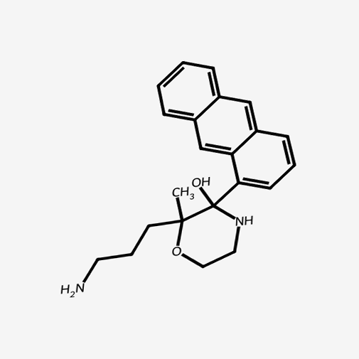 CC1(CCCN)OCCNC1(O)c1cccc2cc3ccccc3cc12